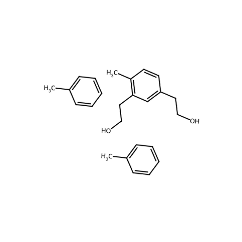 Cc1ccc(CCO)cc1CCO.Cc1ccccc1.Cc1ccccc1